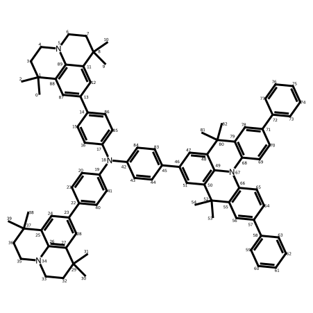 CC1(C)CCN2CCC(C)(C)c3cc(-c4ccc(N(c5ccc(-c6cc7c8c(c6)C(C)(C)CCN8CCC7(C)C)cc5)c5ccc(-c6cc7c8c(c6)C(C)(C)c6cc(-c9ccccc9)ccc6N8c6ccc(-c8ccccc8)cc6C7(C)C)cc5)cc4)cc1c32